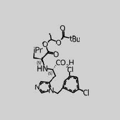 CC(C)C[C@H](N[C@@H](Cc1cncn1Cc1cc(Cl)cc(Cl)c1)C(=O)O)C(=O)OC(C)OC(=O)C(C)(C)C